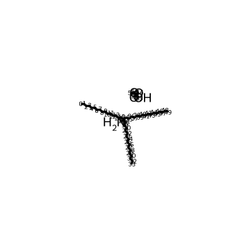 CCCCCCCCCCCCCCCCC(N)(CCCCCCCCCCCCCCCC)CCCCCCCCCCCCCCCC.COS(=O)(=O)O